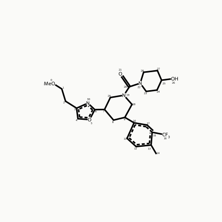 COCCc1coc(C2CC(c3ccc(C)c(C(F)(F)F)c3)CN(C(=O)N3CCC(O)CC3)C2)n1